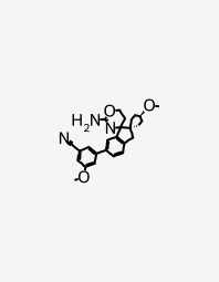 COc1cc(C#N)cc(-c2ccc3c(c2)C2(CCOC(N)=N2)[C@]2(CC[C@H](OC)CC2)C3)c1